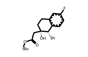 CC(C)[C@H]1c2ccc(F)cc2CC[C@]1(O)CC(=O)OC(C)(C)C